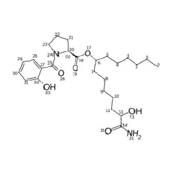 CCCCCCC(CCCCCC(O)C(N)=O)OC(=O)[C@@H]1CCCN1C(=O)c1ccccc1O